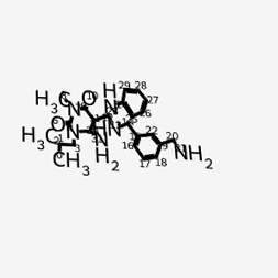 CC(C)CN1C(=O)N(C)C(=O)C(C(NCc2cccc(CN)c2)Nc2ccccc2)C1N